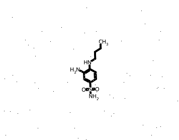 CCCCNc1ccc(S(N)(=O)=O)cc1N